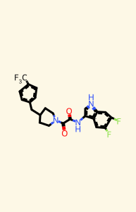 O=C(Nc1c[nH]c2cc(F)c(F)cc12)C(=O)N1CCC(Cc2ccc(C(F)(F)F)cc2)CC1